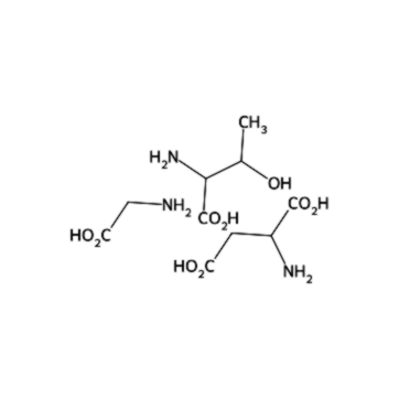 CC(O)C(N)C(=O)O.NC(CC(=O)O)C(=O)O.NCC(=O)O